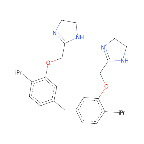 CC(C)c1ccccc1OCC1=NCCN1.Cc1ccc(C(C)C)c(OCC2=NCCN2)c1